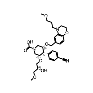 COCCCN1CCOc2ccc(CO[C@H]3CN(C(=O)O)C[C@@H](OC[C@H](O)COC)[C@H]3c3ccc(C#N)cc3)cc21